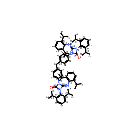 CC(C)c1cccc(C(C)C)c1/N=C1\N(c2ccc(Cc3ccc(N4C(=O)N(c5c(C(C)C)cccc5C(C)C)/C4=N/c4c(C(C)C)cccc4C(C)C)cc3)cc2)C(=O)N1c1c(C(C)C)cccc1C(C)C